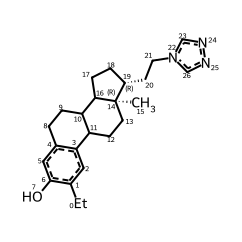 CCc1cc2c(cc1O)CCC1C2CC[C@@]2(C)C1CC[C@@H]2CCn1cnnc1